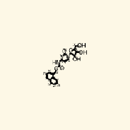 O=C(Nc1ccn(C2OC(CO)C(O)C2O)c(=O)n1)OCc1cccc2ccccc12